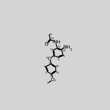 COc1ccc(Oc2ccc(N)c(NC(C)=O)c2)cc1